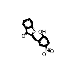 O=C1C(=Cc2cc([N+](=O)[O-])ccc2O)Sc2ccccc21